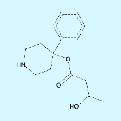 CC(O)CC(=O)OC1(c2ccccc2)CCNCC1